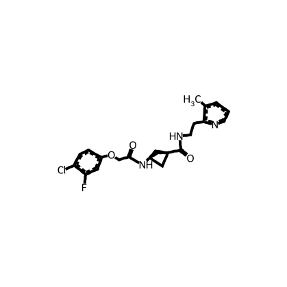 Cc1cccnc1CCNC(=O)C12CC(NC(=O)COc3ccc(Cl)c(F)c3)(C1)C2